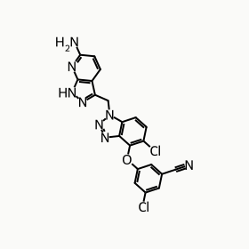 N#Cc1cc(Cl)cc(Oc2c(Cl)ccc3c2nnn3Cc2n[nH]c3nc(N)ccc23)c1